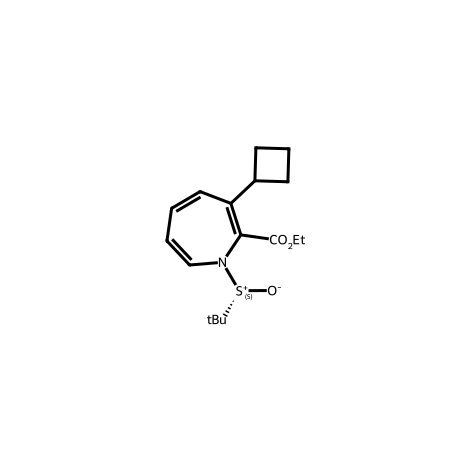 CCOC(=O)C1=C(C2CCC2)C=CC=CN1[S@+]([O-])C(C)(C)C